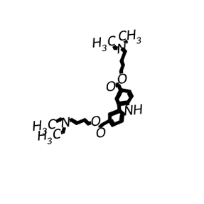 CCN(CC)CCCCOC(=O)c1ccc2[nH]c3ccc(C(=O)OCCCCN(CC)CC)cc3c2c1